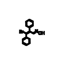 ON=CC(=C(Br)c1ccccc1)c1ccccc1